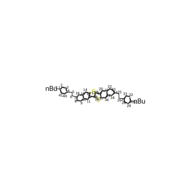 CCCCc1ccc(CCc2ccc3cc4c(cc3c2)sc2c3cc5ccc(CCc6ccc(CCCC)cc6)cc5cc3sc42)cc1